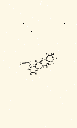 C#CCc1cccc2cc3cc4ccccc4cc3cc12